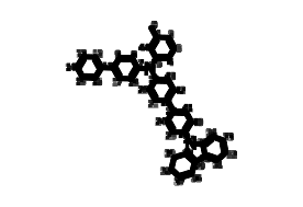 Cc1cccc(N(c2ccc(-c3ccccc3)cc2)c2ccc(-c3ccc(-n4c5c(c6ccccc64)C=CCC5)cc3)cc2)c1